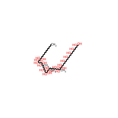 C=CCC/C=C/C=C/C=C/CC/C=C/C(O)C(O)C1OC(C(O)C(O)C(=C)CCC(O)C2CC(O)C(O)C(C(O)C(O)/C=C(\C)CCC(O)CC(O)C(O)C(C)CC(O)C(O)CCCC(O)CCCC(O)CCCC(O)CCCC(O)/C=C/CC(O)CO)O2)CC(O)C1O